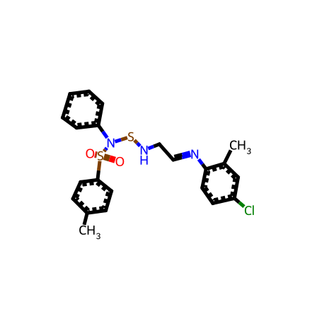 Cc1ccc(S(=O)(=O)N(SNCC=Nc2ccc(Cl)cc2C)c2ccccc2)cc1